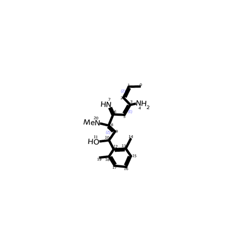 C/C=C\C(N)=C/C(=N)/C(=C/C(O)c1c(C)cccc1C)NC